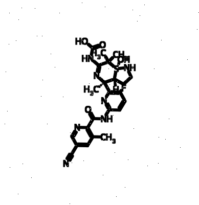 Cc1cc(C#N)cnc1C(=O)Nc1ccc(F)c([C@@]2(C)N=C(NC(=O)O)C(C)(C)[S@]3(O)NCC[C@H]23)n1